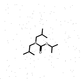 CC(C)CN(CC(C)C)C(=O)OC(C)C